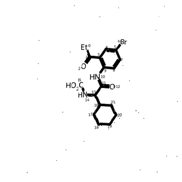 CCC(=O)c1cc(Br)ccc1NC(=O)C(NC(=O)O)C1CCCCC1